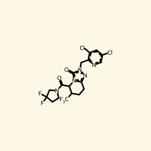 O=C(C1C(C(F)(F)F)CCc2nn(Cc3ncc(Cl)cc3Cl)c(=O)n21)N1CCC(F)(F)C1